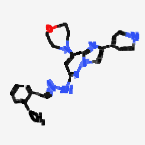 Cc1ccccc1C=NNc1cc(N2CCOCC2)c2nc(-c3ccncc3)cn2n1